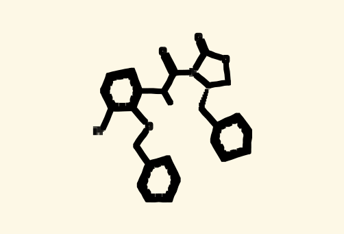 CC(C)c1cccc(C(C)C(=O)N2C(=O)OC[C@@H]2Cc2ccccc2)c1OCc1ccccc1